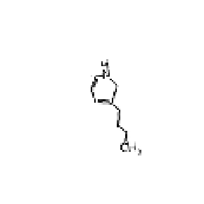 CCCCC1=CC=[C]NC1